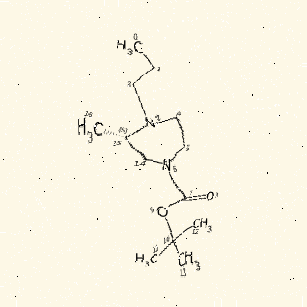 CCCN1CCN(C(=O)OC(C)(C)C)C[C@@H]1C